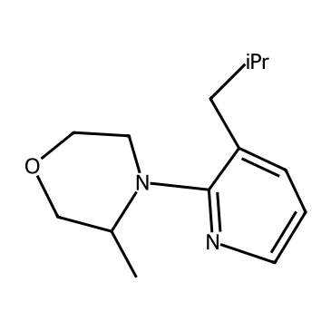 CC(C)Cc1cccnc1N1CCOCC1C